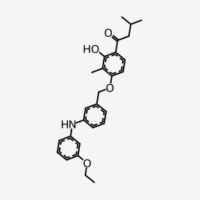 CCOc1cccc(Nc2cccc(COc3ccc(C(=O)CC(C)C)c(O)c3C)c2)c1